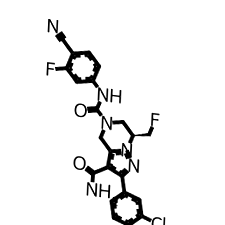 N#Cc1ccc(NC(=O)N2Cc3c(C(N)=O)c(-c4cccc(Cl)c4)nn3[C@H](CF)C2)cc1F